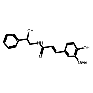 COc1cc(/C=C/C(=O)NCC(O)c2ccccc2)ccc1O